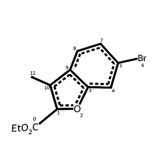 CCOC(=O)c1oc2cc(Br)ccc2c1C